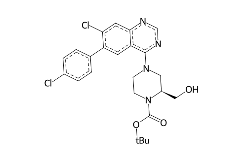 CC(C)(C)OC(=O)N1CCN(c2ncnc3cc(Cl)c(-c4ccc(Cl)cc4)cc23)C[C@H]1CO